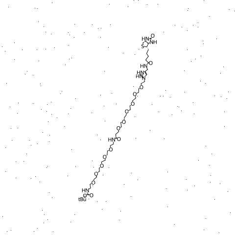 CC(C)(C)OC(=O)NCCOCCOCCOCCOCCOCCNC(=O)CCOCCOCCOCCOCCOCCOCCN1C=C(CNC(=O)CCCC[C@@H]2SCC3NC(=O)NC32)NN1